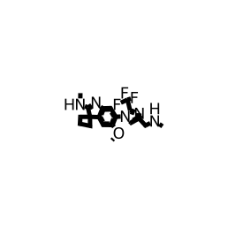 CNCc1cn(-c2cc3c(cc2OC)C2(CCC2)C(NC)=N3)c(C(F)(F)F)n1